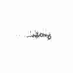 COCCCNC(=O)Nc1snc(-c2ccc(NC(=O)Nc3cc(C)ccc3F)cc2)c1C(N)=O